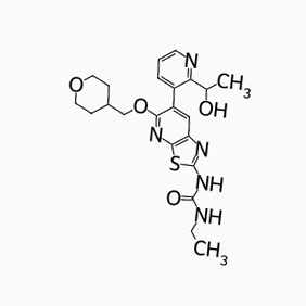 CCNC(=O)Nc1nc2cc(-c3cccnc3C(C)O)c(OCC3CCOCC3)nc2s1